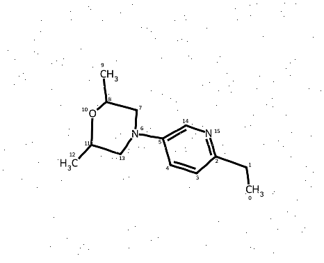 CCc1ccc(N2CC(C)OC(C)C2)cn1